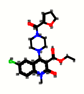 CCOC(=O)c1c(N2CCN(C(=O)C3=CCCO3)CC2)c2cc(Cl)ccc2n(C)c1=O